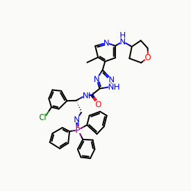 Cc1cnc(NC2CCOCC2)cc1-c1n[nH]c(C(=O)N[C@H](CN=P(c2ccccc2)(c2ccccc2)c2ccccc2)c2cccc(Cl)c2)n1